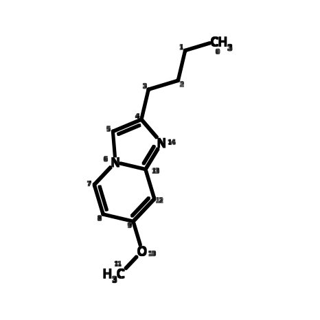 CCCCc1cn2ccc(OC)cc2n1